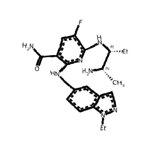 CC[C@@H](Nc1nc(Nc2ccc3c(cnn3CC)c2)c(C(N)=O)cc1F)[C@H](C)N